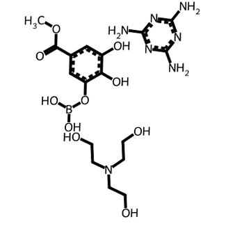 COC(=O)c1cc(O)c(O)c(OB(O)O)c1.Nc1nc(N)nc(N)n1.OCCN(CCO)CCO